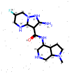 CN1CCC2C(NC(=O)C3C(N)NN4CC(F)CNC34)CNCC21